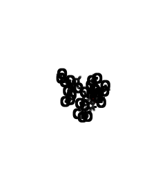 CC(=O)OCOC(=O)CN(CC(=O)OCOC(C)=O)c1ccc(C)cc1OCCOc1cc2c(cc1N(CC(=O)OCOC(C)=O)CC(=O)OCOC(C)=O)C1(OC2=O)c2cc(Cl)c(OC(C)=O)cc2C(C)(C)c2cc(OC(C)=O)c(Cl)cc21